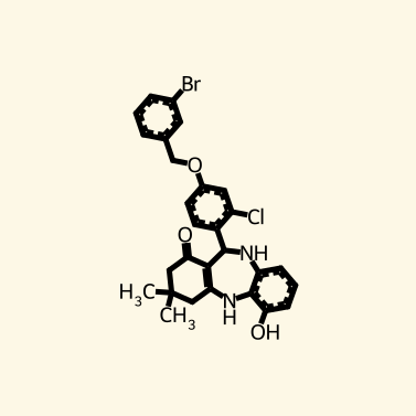 CC1(C)CC(=O)C2=C(C1)Nc1c(O)cccc1NC2c1ccc(OCc2cccc(Br)c2)cc1Cl